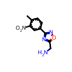 Cc1ccc(-c2noc(CN)n2)cc1[N+](=O)[O-]